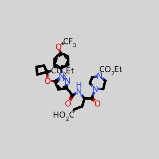 CCOC(=O)N1CCN(C(=O)C(CCC(=O)O)NC(=O)c2cc(OC3(C(=O)OCC)CCC3)n(-c3ccc(OC(F)(F)F)cc3)n2)CC1